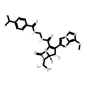 CSc1ncn2cc(C3=C(C(=O)OCOC(=O)c4ccc(C(C)C)cc4)N4C(=O)[C@H]([C@@H](C)O)[C@H]4[C@H]3C)sc12